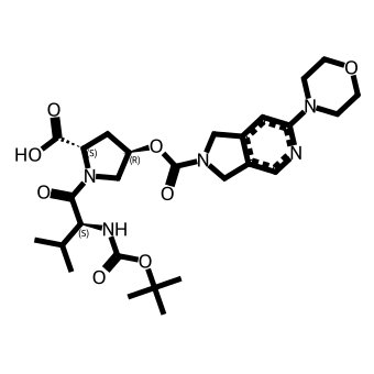 CC(C)[C@H](NC(=O)OC(C)(C)C)C(=O)N1C[C@H](OC(=O)N2Cc3cnc(N4CCOCC4)cc3C2)C[C@H]1C(=O)O